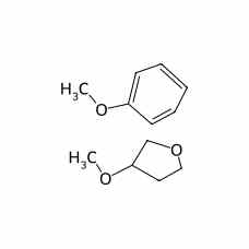 COC1CCOC1.COc1ccccc1